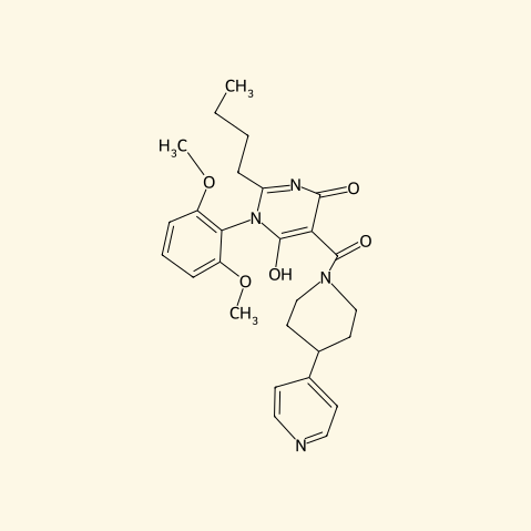 CCCCc1nc(=O)c(C(=O)N2CCC(c3ccncc3)CC2)c(O)n1-c1c(OC)cccc1OC